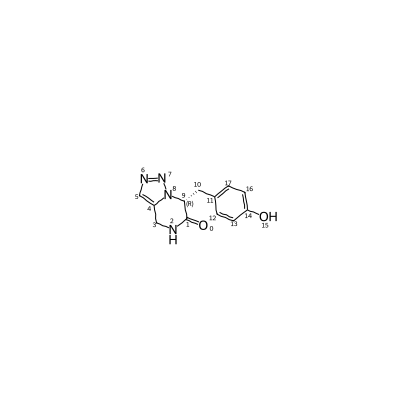 O=C1NCc2cnnn2[C@@H]1Cc1ccc(O)cc1